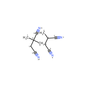 CC(C#N)CC#N.CC(C)(C#N)CC#N